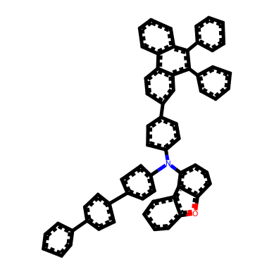 c1ccc(-c2ccc(-c3ccc(N(c4ccc(-c5ccc6c(c5)c(-c5ccccc5)c(-c5ccccc5)c5ccccc56)cc4)c4cccc5oc6ccccc6c45)cc3)cc2)cc1